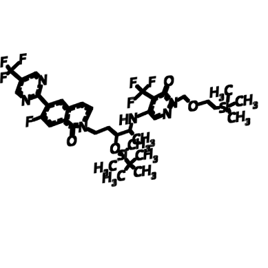 CC(Nc1cnn(COCC[Si](C)(C)C)c(=O)c1C(F)(F)F)C(CCn1ccc2cc(-c3ncc(C(F)(F)F)cn3)c(F)cc2c1=O)O[Si](C)(C)C(C)(C)C